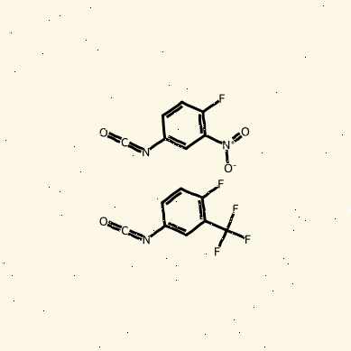 O=C=Nc1ccc(F)c(C(F)(F)F)c1.O=C=Nc1ccc(F)c([N+](=O)[O-])c1